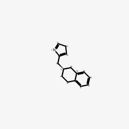 C1=NC(C[C@@H]2CCc3ccccc3C2)=CC1